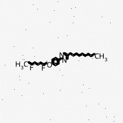 CCCCCCCCCCc1cnc(-c2ccc(OCC(F)CCCC(F)CC)cc2)nc1